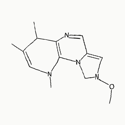 CON1C=C2C=NC3=C(N(C)C=C(C)C3C)N2C1